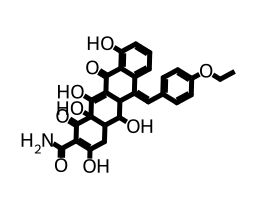 CCOc1ccc(/C=C2\c3cccc(O)c3C(=O)C3=C(O)C4(O)C(=O)C(C(N)=O)=C(O)CC4C(O)C32)cc1